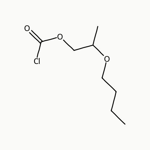 CCCCOC(C)COC(=O)Cl